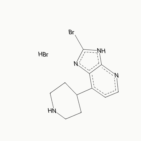 Br.Brc1nc2c(C3CCNCC3)ccnc2[nH]1